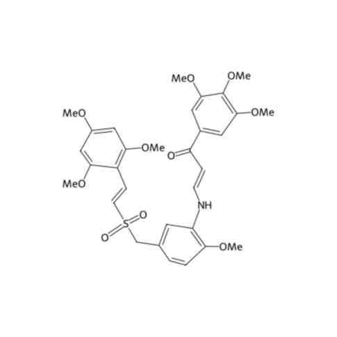 COc1cc(OC)c(C=CS(=O)(=O)Cc2ccc(OC)c(NC=CC(=O)c3cc(OC)c(OC)c(OC)c3)c2)c(OC)c1